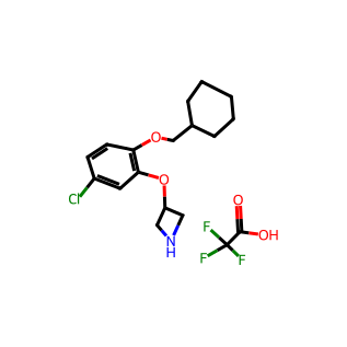 Clc1ccc(OCC2CCCCC2)c(OC2CNC2)c1.O=C(O)C(F)(F)F